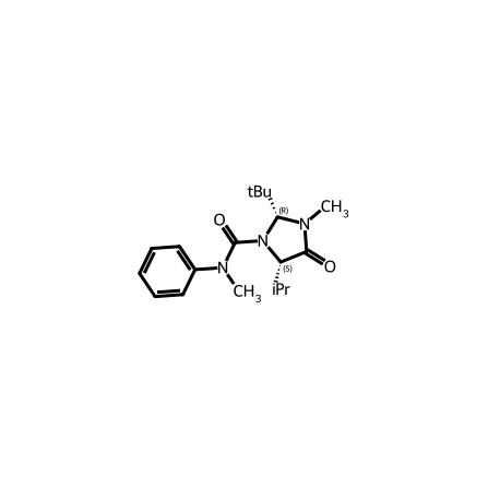 CC(C)[C@H]1C(=O)N(C)[C@@H](C(C)(C)C)N1C(=O)N(C)c1ccccc1